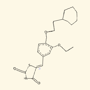 CCOc1cc(/C=C2\SC(=O)NC2=O)ccc1OCCC1CCCCC1